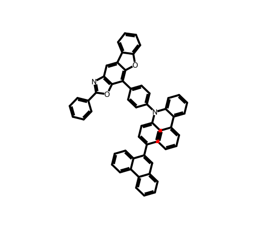 c1ccc(-c2nc3cc4c(oc5ccccc54)c(-c4ccc(N(c5ccc(-c6cc7ccccc7c7ccccc67)cc5)c5ccccc5-c5ccccc5)cc4)c3o2)cc1